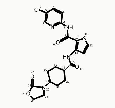 O=C(Nc1ccc(Cl)cn1)c1sccc1NC(=O)[C@H]1CC[C@H](N2CCOC2=O)CC1